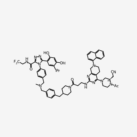 CC(=O)N1CCN(c2nc(NCCC(=O)N3CCC(Cc4ccc(CN(C)Cc5ccc(-n6c(C(=O)NCC(F)(F)F)nnc6-c6cc(C(C)C)c(O)cc6O)cc5)cc4)CC3)nc3c2CCN(c2cccc4ccccc24)C3)C[C@H]1CC#N